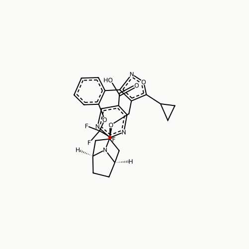 O=C(O)c1cnc(N2[C@@H]3CC[C@H]2C[C@@H](OCc2c(-c4ccccc4OC(F)(F)F)noc2C2CC2)C3)nc1